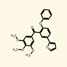 COc1cc(C(=O)c2cc(-c3ccco3)ccc2Oc2ccccc2)cc(OC)c1OC